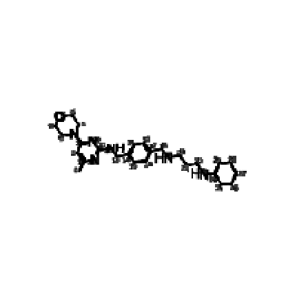 Cc1cc(N2CCOCC2)nc(NCc2ccc(CNCCCNC3CCCCC3)cc2)n1